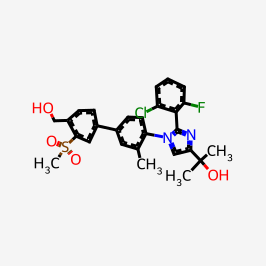 Cc1cc(-c2ccc(CO)c(S(C)(=O)=O)c2)ccc1-n1cc(C(C)(C)O)nc1-c1c(F)cccc1Cl